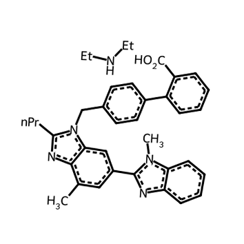 CCCc1nc2c(C)cc(-c3nc4ccccc4n3C)cc2n1Cc1ccc(-c2ccccc2C(=O)O)cc1.CCNCC